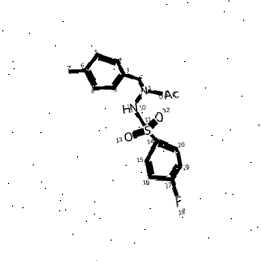 CC(=O)N(Cc1ccc(C)cc1)NS(=O)(=O)c1ccc(F)cc1